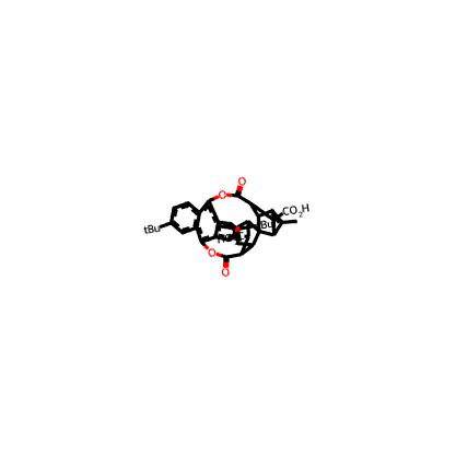 CC1=CC2C3C(=O)Oc4c5ccc(C(C)(C)C)cc5c(c5ccc(C(C)(C)C)cc45)OC(=O)C4C(C(=O)O)C5C(C)=CC4C25C1C3C(=O)O